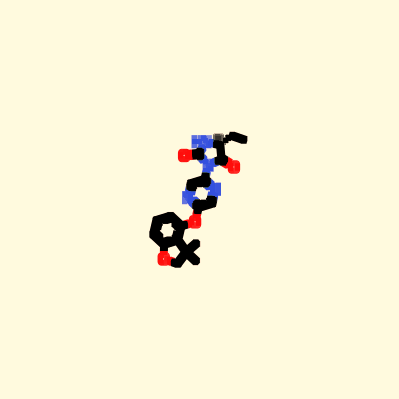 CC[C@H]1NC(=O)N(c2cnc(Oc3cccc4c3C(C)(C)CO4)cn2)C1=O